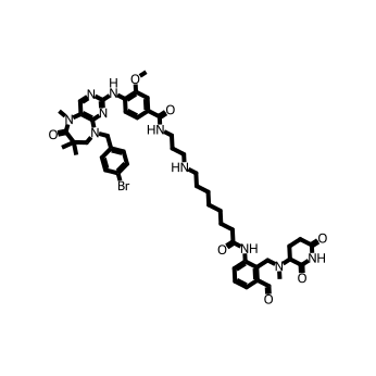 COc1cc(C(=O)NCCCNCCCCCCCC(=O)Nc2cccc(C=O)c2CN(C)C2CCC(=O)NC2=O)ccc1Nc1ncc2c(n1)N(Cc1ccc(Br)cc1)CC(C)(C)C(=O)N2C